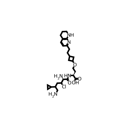 NCC(CC(Cl)[C@H](N)C(=O)N[C@@H](CCOC1CC(CCc2ccc3c(n2)NCCC3)C1)C(=O)O)C1CC1